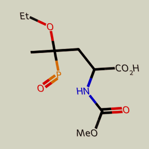 CCOC(C)(CC(NC(=O)OC)C(=O)O)P=O